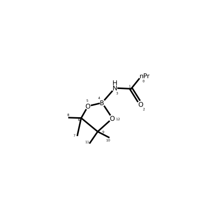 CCCC(=O)NB1OC(C)(C)C(C)(C)O1